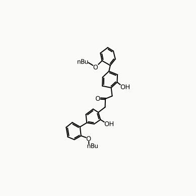 CCCCOc1ccccc1-c1ccc(CC(=O)Cc2ccc(-c3ccccc3OCCCC)cc2O)c(O)c1